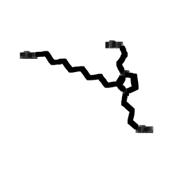 CCCCCCCCCCCCCCCCCCc1n(CCCCCCCCCCCCC)cc[n+]1CCCCCCCCCCCC